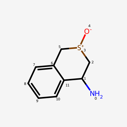 NC1C[S+]([O-])Cc2ccccc21